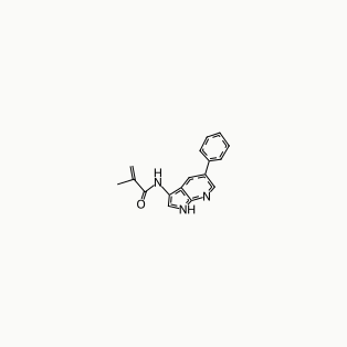 C=C(C)C(=O)Nc1c[nH]c2ncc(-c3ccccc3)cc12